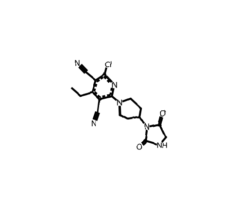 CCc1c(C#N)c(Cl)nc(N2CCC(N3C(=O)CNC3=O)CC2)c1C#N